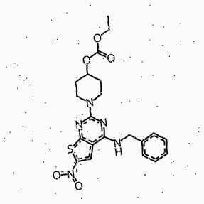 CCOC(=O)OC1CCN(c2nc(NCc3ccccc3)c3cc([N+](=O)[O-])sc3n2)CC1